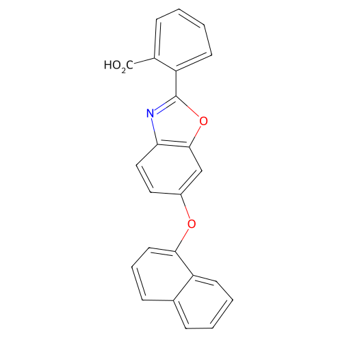 O=C(O)c1ccccc1-c1nc2ccc(Oc3cccc4ccccc34)cc2o1